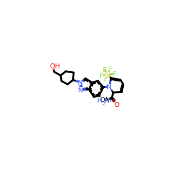 COc1cc2nn(C3CCC(CO)CC3)cc2cc1N1C(S(F)(F)(F)(F)F)=CC=CC1C(N)=O